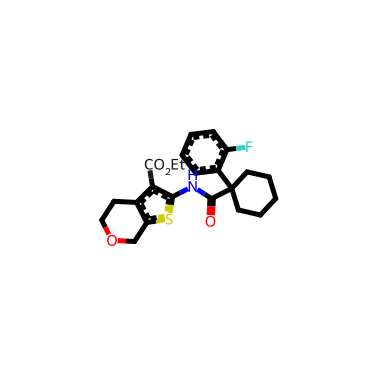 CCOC(=O)c1c(NC(=O)C2(c3ccccc3F)CCCCC2)sc2c1CCOC2